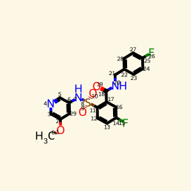 COc1cncc(NS(=O)(=O)c2ccc(F)cc2C(=O)NCc2ccc(F)cc2)c1